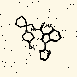 Cc1cccc2c1c(C(=O)NCC1(N3CCN(C)CC3)CCCCC1)cn2-c1ncccn1